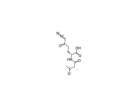 C[C@@H](C(=O)N[C@@H](CCC(=O)C=[N+]=[N-])C(=O)O)[S+](C)[O-]